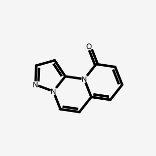 O=c1cccc2c[c]n3nccc3n12